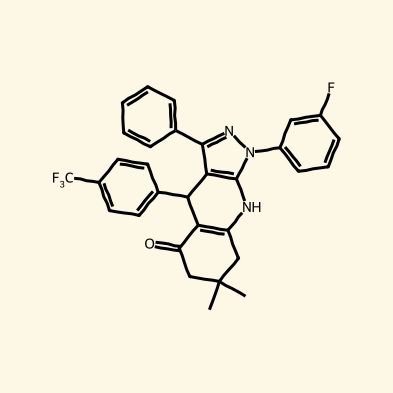 CC1(C)CC(=O)C2=C(C1)Nc1c(c(-c3ccccc3)nn1-c1cccc(F)c1)C2c1ccc(C(F)(F)F)cc1